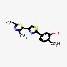 Cc1nc(C)c(-c2csc(-c3ccc(C(=O)O)c(O)c3)n2)s1